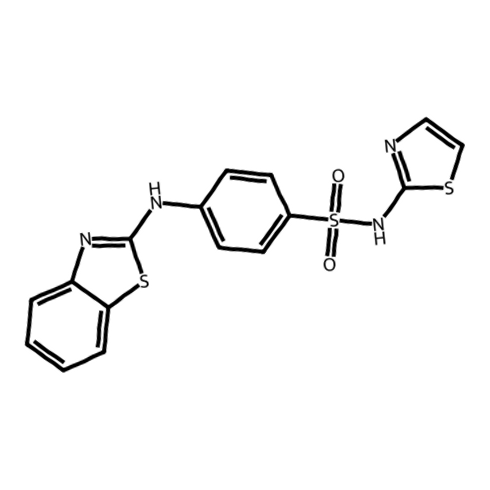 O=S(=O)(Nc1nccs1)c1ccc(Nc2nc3ccccc3s2)cc1